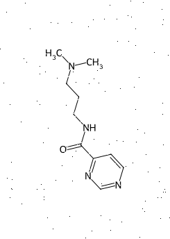 CN(C)CCCNC(=O)c1ccncn1